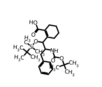 CC(C)(C)OC(=O)NC(Cc1ccccc1)C(O[Si](C)(C)C(C)(C)C)C1=C(C(=O)O)CCCC1